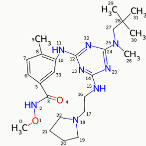 CONC(=O)c1ccc(C)c(Nc2nc(NCCN3CCCC3)nc(N(C)CC(C)(C)C)n2)c1